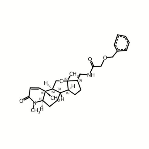 CN1C(=O)C=C[C@]2(C)[C@H]3CC[C@]4(C)[C@@H](CNC(=O)COCc5ccccc5)CC[C@H]4[C@@H]3CC[C@@H]12